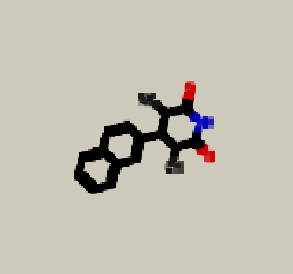 N#CC1C(=O)NC(=O)C(C#N)C1c1ccc2ccccc2c1